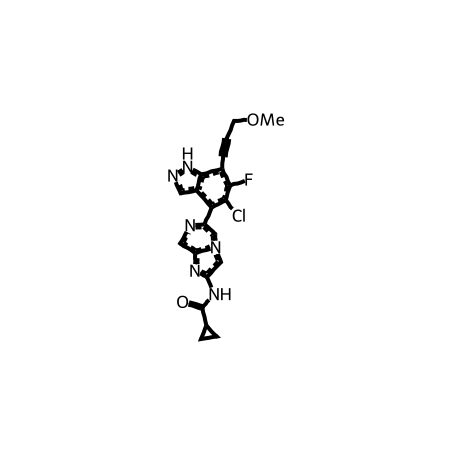 COCC#Cc1c(F)c(Cl)c(-c2cn3cc(NC(=O)C4CC4)nc3cn2)c2cn[nH]c12